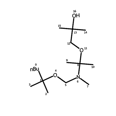 CCCCC(C)(C)OCN(C)C(C)(C)OCC(C)(C)O